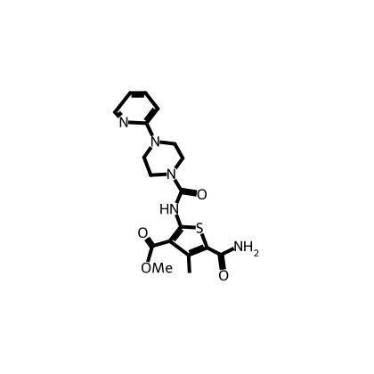 COC(=O)c1c(NC(=O)N2CCN(c3ccccn3)CC2)sc(C(N)=O)c1C